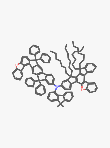 CCCCCCCC1(CCCCCCC)c2cc(N(c3ccc4c(c3)C(c3ccccc3)(c3ccccc3)c3cc5c(cc3-4)C(c3ccccc3)(c3ccccc3)c3ccc4oc6ccccc6c4c3-5)c3cccc4c3-c3ccccc3C4(C)C)ccc2-c2c1c1c(c3c2oc2ccccc23)-c2ccccc2C1(CCCCCCC)CCCCCCC